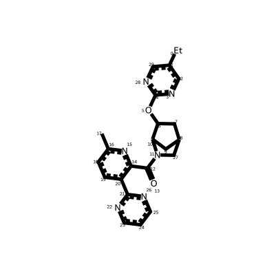 CCc1cnc(OC2CC3CC2N(C(=O)c2nc(C)ccc2-c2ncccn2)C3)nc1